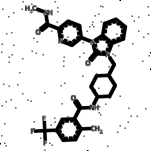 CNC(=O)c1ccc(-n2c(=O)n(CC3CCC(NC(=O)c4cc(C(F)(F)F)ccc4C)CC3)c3ccccc32)cn1